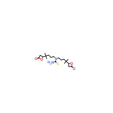 CC(C)(CCCN(CCCC(C)(C)C1CC(=O)O1)C(N)=S)C1CC(=O)O1